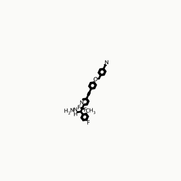 Cc1cc(F)ccc1C(CNN)C(F)(F)c1ccc(C#Cc2ccc(OCc3ccc(C#N)cc3)cc2)cn1